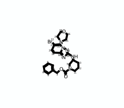 O=C(OCc1ccccc1)N1CCCC(Nc2nc3ccc(Br)c(N4CCOCC4)n3n2)C1